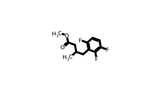 COC(=O)CC(C)Cc1c(F)ccc(F)c1F